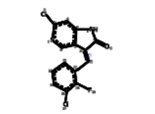 O=C1Nc2cc(Cl)ncc2/C1=C\c1cccc(Cl)c1F